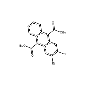 CCc1cc2c(C(=O)OCC(C)C)c3ccccc3c(C(=O)OCC(C)C)c2cc1CC